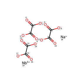 O=C([O-])C(=O)[O-].O=C([O-])C(=O)[O-].O=C([O-])C(=O)[O-].[Na+].[Nb+5]